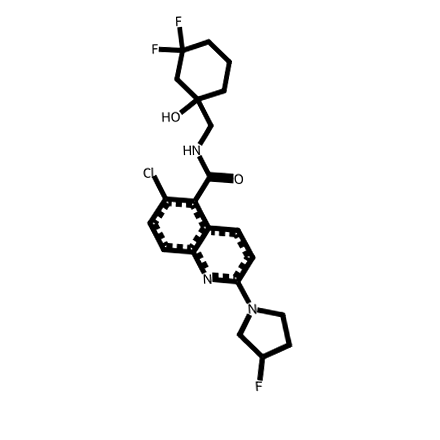 O=C(NCC1(O)CCCC(F)(F)C1)c1c(Cl)ccc2nc(N3CCC(F)C3)ccc12